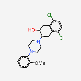 COc1ccccc1N1CCN(C2Cc3c(Cl)ccc(Cl)c3CC2O)CC1